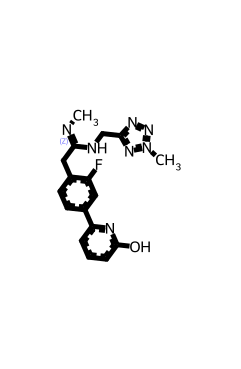 C/N=C(/Cc1ccc(-c2cccc(O)n2)cc1F)NCc1nnn(C)n1